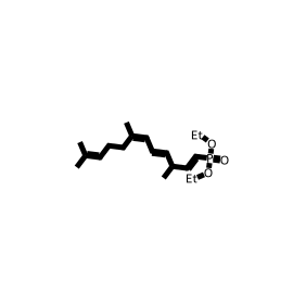 CCOP(=O)(C=CC(C)C=CC=C(C)CCC=C(C)C)OCC